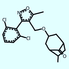 Cc1onc(-c2c(Cl)cccc2Cl)c1COC1CC2CC(C)C(C1)C2=O